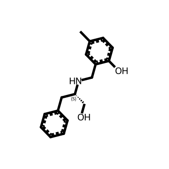 Cc1ccc(O)c(CN[C@H](CO)Cc2ccccc2)c1